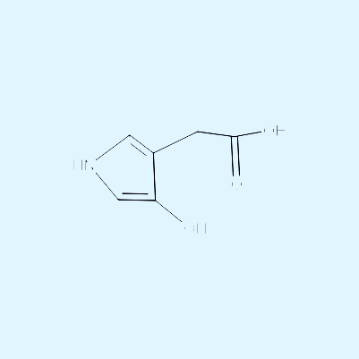 O=C(O)Cc1c[nH]cc1O